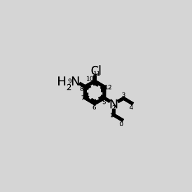 CCN(CC)c1ccc(N)c(Cl)c1